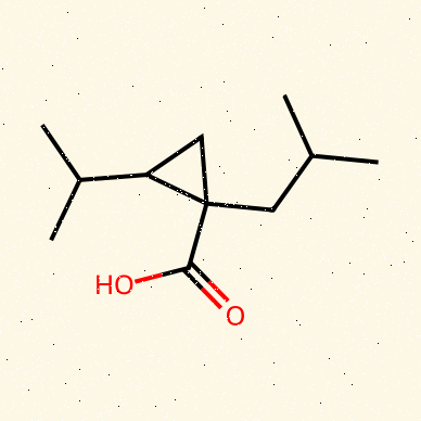 CC(C)CC1(C(=O)O)CC1C(C)C